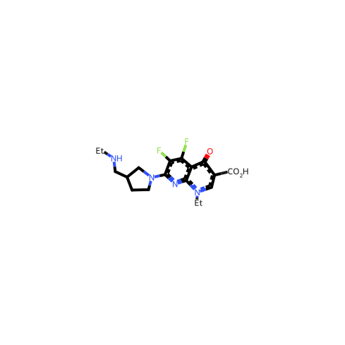 CCNCC1CCN(c2nc3c(c(F)c2F)c(=O)c(C(=O)O)cn3CC)C1